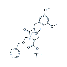 COc1cc(CN2C(=O)[C@]3(COCc4ccccc4)C[C@H]2CN3C(=O)OC(C)(C)C)cc(OC)c1